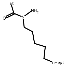 CCCCCCCCCCCCN(N)C(=O)CC